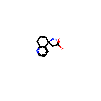 N[C@]1(CC(=O)O)CCCc2ncccc21